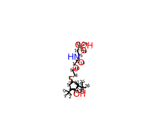 CC(C)(C)c1cc(SCCOCC(=O)NCCS(=O)(=O)O)cc(C(C)(C)C)c1O